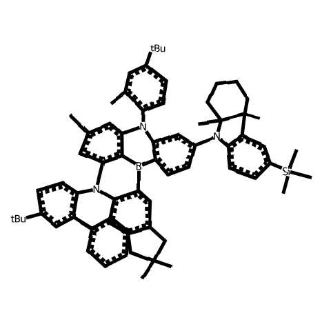 Cc1cc2c3c(c1)N(c1ccc(C(C)(C)C)cc1-c1ccccc1)c1cc4c(cc1B3c1ccc(N3c5ccc([Si](C)(C)C)cc5C5(C)CCCCC35C)cc1N2c1ccc(C(C)(C)C)cc1C)CC(C)(C)C4